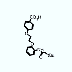 CC(C)(C)CC(=O)Nc1ccccc1OCCOc1ccc(C(=O)O)cc1